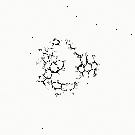 COc1cc([C@@H]2c3cc4c(cc3C(O[C@@H]3O[C@@H]5COC(c6cccs6)O[C@H]5[C@H](O)[C@H]3O)C3COC(=O)[C@@H]32)OCO4)cc(OC)c1O.O=C1c2c(O)ccc(O)c2C(=O)c2c(NCCNCCO)ccc(NCCNCCO)c21